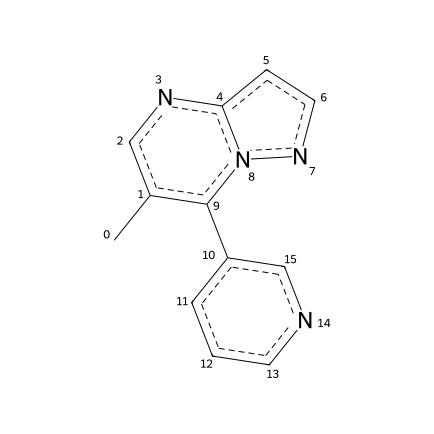 Cc1cnc2ccnn2c1-c1cccnc1